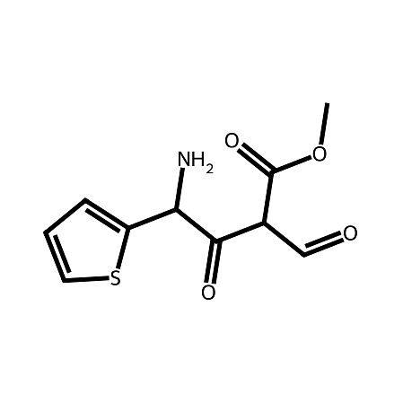 COC(=O)C(C=O)C(=O)C(N)c1cccs1